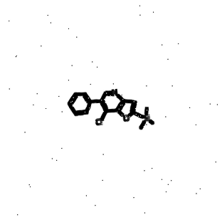 C[Si](C)(C)c1cc2ncc(-c3ccccc3)c(Cl)c2o1